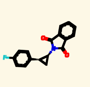 O=C1c2ccccc2C(=O)N1[C@@H]1C[C@@H]1c1ccc(F)cc1